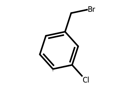 Clc1[c]ccc(CBr)c1